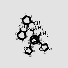 Cc1ccccc1P(c1ccccc1C)C(C)[C@@]12[CH]3[C]4(c5ccco5)[C]5(c6ccco6)[C]1(P)[Fe]34521678[CH]2[CH]1[CH]6[CH]7[CH]28